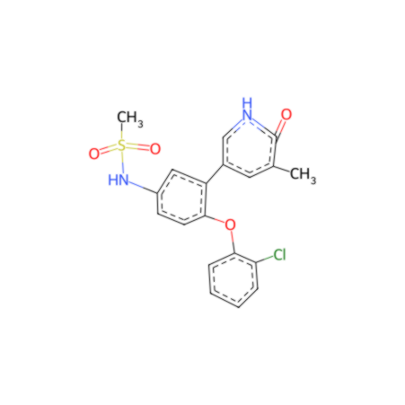 Cc1cc(-c2cc(NS(C)(=O)=O)ccc2Oc2ccccc2Cl)c[nH]c1=O